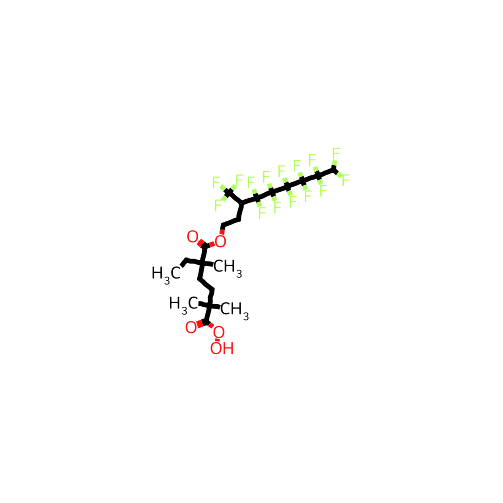 CCC(C)(CCC(C)(C)C(=O)OO)C(=O)OCCC(C(F)(F)F)C(F)(F)C(F)(F)C(F)(F)C(F)(F)C(F)(F)C(F)F